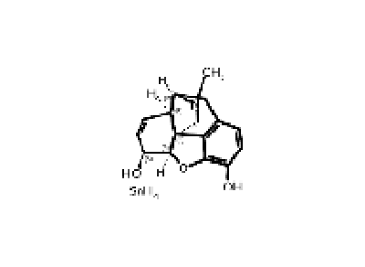 CN1CC[C@]23c4c5ccc(O)c4O[C@H]2[C@@H](O)C=C[C@H]3[C@H]1C5.[SnH4]